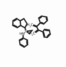 C1=CC2CC[CH]([Ti]3([NH]c4ccccc4)[CH2][CH2]3)C2C=C1.C=C(C(=C)c1ccccc1)c1ccccc1